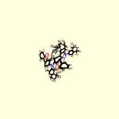 Cc1cc2c(cc1N1c3ccc4c(oc5ccccc54)c3Bc3c(-c4cc5c(cc4Nc4ccc6c(c4)C(C)(C)CCC6(C)C)C(C)(C)CCC5(C)C)cc4c(oc5ccccc54)c31)C(C)(C)CCC2(C)C